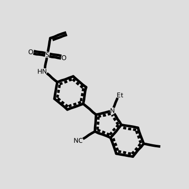 C=CS(=O)(=O)Nc1ccc(-c2c(C#N)c3ccc(C)cc3n2CC)cc1